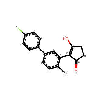 CCc1ccc(-c2ccc(F)cc2)cc1C1=C(O)CCC1=O